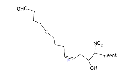 CCCCCC(C(O)C/C=C\CCCCCCCC=O)[N+](=O)[O-]